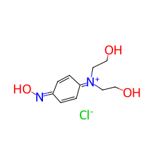 OCC[N+](CCO)=C1C=CC(=NO)C=C1.[Cl-]